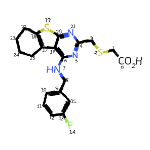 O=C(O)CSCc1nc(NCc2cccc(F)c2)c2c3c(sc2n1)CCCC3